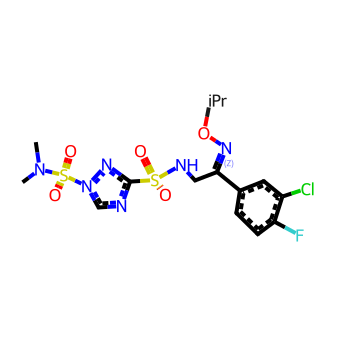 CC(C)O/N=C(\CNS(=O)(=O)c1ncn(S(=O)(=O)N(C)C)n1)c1ccc(F)c(Cl)c1